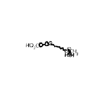 CC(CO)(CO)C(=O)OCCCCCCCCCCOc1ccc(-c2ccc(C(=O)O)cc2)cc1